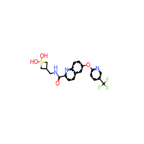 O=C(NCC1CS(O)(O)C1)c1ccc2cc(Oc3ccc(C(F)(F)F)cn3)ccc2n1